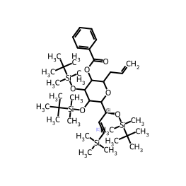 C=CCC1OC([C@H](/C=C/[Si](C)(C)C)O[Si](C)(C)C(C)(C)C)C(O[Si](C)(C)C(C)(C)C)C(O[Si](C)(C)C(C)(C)C)C1OC(=O)c1ccccc1